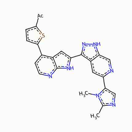 CC(=O)c1ccc(-c2ccnc3[nH]c(-c4n[nH]c5cnc(-c6cnc(C)n6C)cc45)cc23)s1